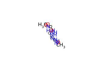 COC(=O)Nc1cccc(-c2cnc(N[C@@H]3CCCC[C@H]3N[C@H]3CCCN(c4ccc(-c5noc(C)n5)nc4)C3)o2)c1